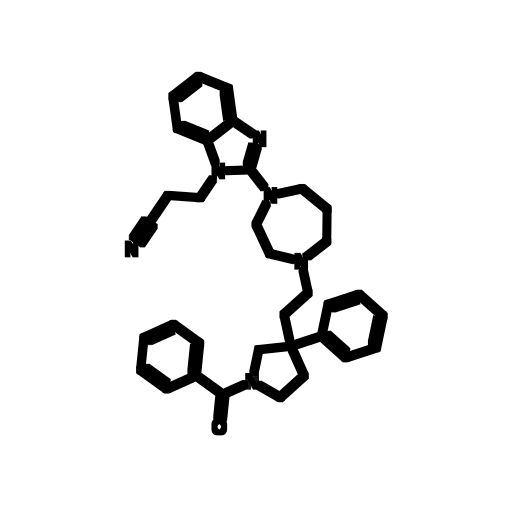 N#CCCn1c(N2CCCN(CCC3(c4ccccc4)CCN(C(=O)c4ccccc4)C3)CC2)nc2ccccc21